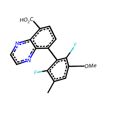 COc1cc(C)c(F)c(-c2ccc(C(=O)O)c3nccnc23)c1F